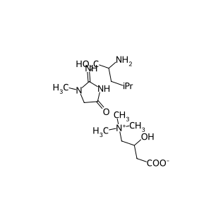 CC(C)CC(N)C(=O)O.CN1CC(=O)NC1=N.C[N+](C)(C)CC(O)CC(=O)[O-]